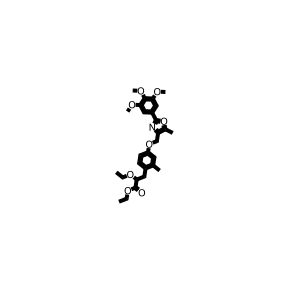 CCOC(=O)C(Cc1ccc(OCc2nc(-c3cc(OC)c(OC)c(OC)c3)oc2C)cc1C)OCC